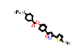 CCCCCC1CCC(C(=O)Oc2ccc(-c3cc(-c4ccc(CCCC)s4)no3)cc2)CC1